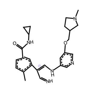 Cc1ccc(C(=O)NC2CC2)cc1/C(C=N)=C/Nc1cncc(OCC2CCN(C)C2)c1